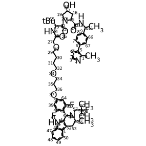 Cc1ncsc1-c1ccc(C(C)NC(=O)[C@@H]2C[C@@H](O)CN2C(=O)C(NC(=O)COCCCCOCCCOc2cc(F)c([C@@H]3c4[nH]c5ccccc5c4C[C@@H](C)N3CC(C)(C)F)c(F)c2)C(C)(C)C)cc1